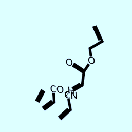 C=C.C=CC#N.C=CC(=O)O.C=CCOC(=O)C=C